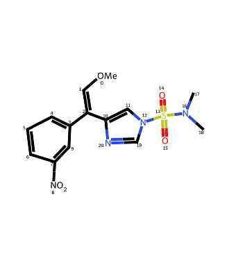 CO/C=C(/c1cccc([N+](=O)[O-])c1)c1cn(S(=O)(=O)N(C)C)cn1